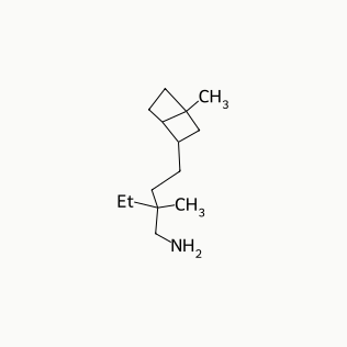 CCC(C)(CN)CCC1CC2(C)CCC12